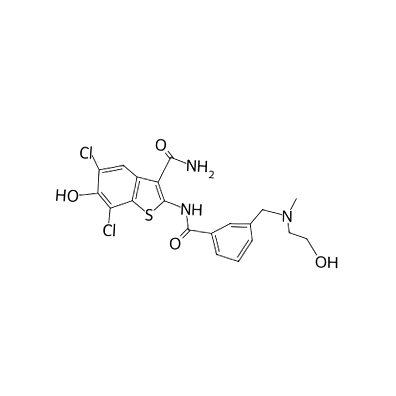 CN(CCO)Cc1cccc(C(=O)Nc2sc3c(Cl)c(O)c(Cl)cc3c2C(N)=O)c1